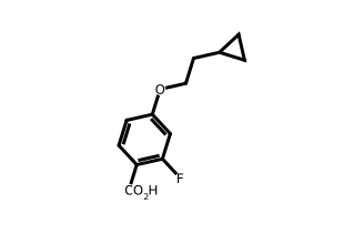 O=C(O)c1ccc(OCCC2CC2)cc1F